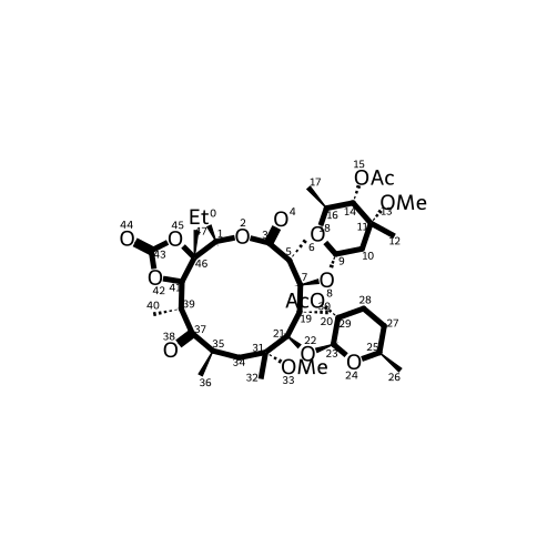 CC[C@H]1OC(=O)[C@H](C)[C@@H](O[C@H]2C[C@@](C)(OC)[C@@H](OC(C)=O)[C@H](C)O2)[C@H](C)[C@@H](O[C@@H]2O[C@H](C)CC[C@H]2OC(C)=O)[C@](C)(OC)C[C@@H](C)C(=O)[C@H](C)C2OC(=O)O[C@@]21C